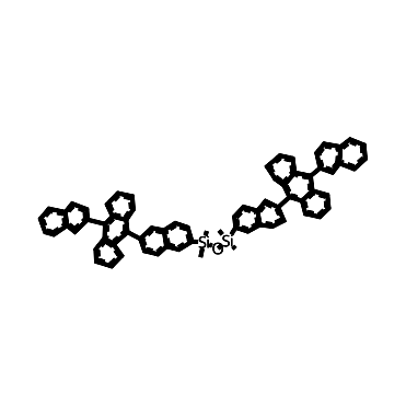 C[Si](C)(O[Si](C)(C)c1ccc2cc(-c3c4ccccc4c(-c4ccc5ccccc5c4)c4ccccc34)ccc2c1)c1ccc2cc(-c3c4ccccc4c(-c4ccc5ccccc5c4)c4ccccc34)ccc2c1